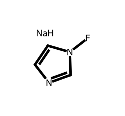 Fn1ccnc1.[NaH]